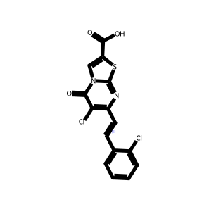 O=C(O)c1cn2c(=O)c(Cl)c(/C=C/c3ccccc3Cl)nc2s1